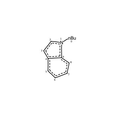 CCCCn1ccc2cc[c]cc21